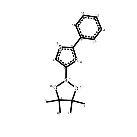 CC1(C)OB(c2csc(-c3ccccc3)n2)OC1(C)C